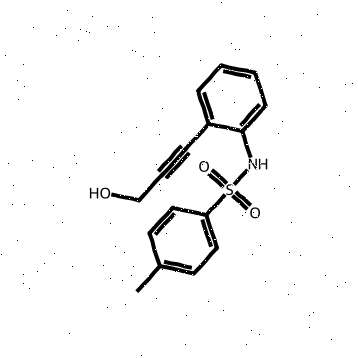 Cc1ccc(S(=O)(=O)Nc2ccccc2C#CCO)cc1